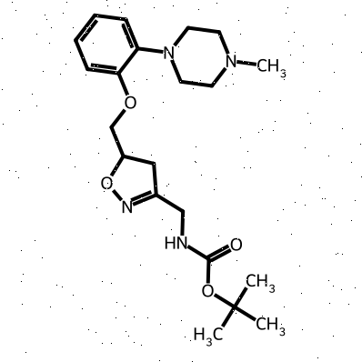 CN1CCN(c2ccccc2OCC2CC(CNC(=O)OC(C)(C)C)=NO2)CC1